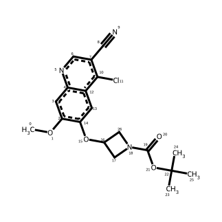 COc1cc2ncc(C#N)c(Cl)c2cc1OC1CN(C(=O)OC(C)(C)C)C1